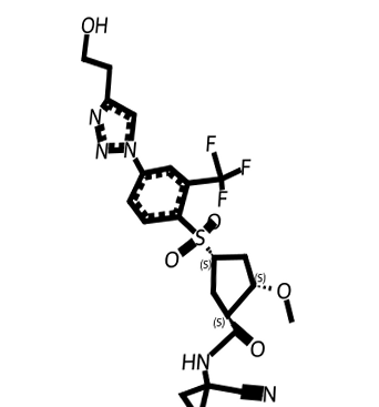 CO[C@H]1C[C@@H](S(=O)(=O)c2ccc(-n3cc(CCO)nn3)cc2C(F)(F)F)C[C@@H]1C(=O)NC1(C#N)CC1